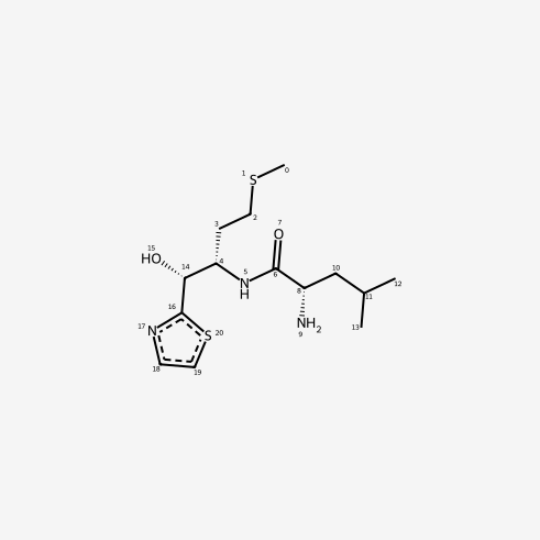 CSCC[C@H](NC(=O)[C@@H](N)CC(C)C)[C@@H](O)c1nccs1